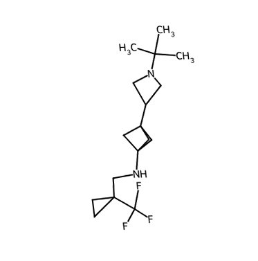 CC(C)(C)N1CC(C23CC(NCC4(C(F)(F)F)CC4)(C2)C3)C1